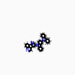 c1cc2c3c(ccnc3c1)-c1cc(-n3c4ccccc4c4cc(-n5c6ccccc6c6ccccc65)ccc43)cnc1-2